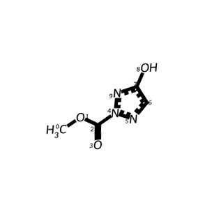 COC(=O)n1ncc(O)n1